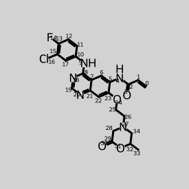 C=CC(=O)Nc1cc2c(Nc3ccc(F)c(Cl)c3)ncnc2cc1OCCN1CC(=O)OC(C)C1